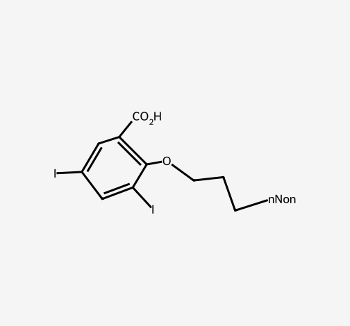 CCCCCCCCCCCCOc1c(I)cc(I)cc1C(=O)O